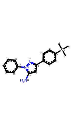 C[Si](C)(C)c1ccc(-c2cc(N)n(-c3ccccc3)n2)cc1